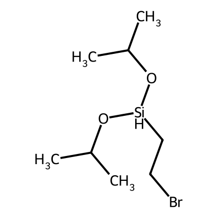 CC(C)O[SiH](CCBr)OC(C)C